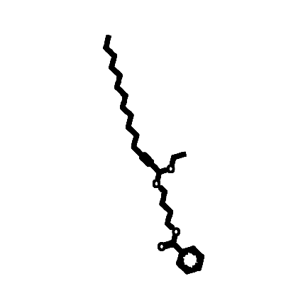 CCCCCCCCCCCCC#CC(OCC)OCCCCOC(=O)c1ccccc1